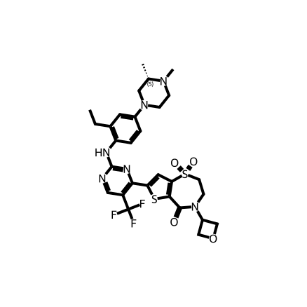 CCc1cc(N2CCN(C)[C@@H](C)C2)ccc1Nc1ncc(C(F)(F)F)c(-c2cc3c(s2)C(=O)N(C2COC2)CCS3(=O)=O)n1